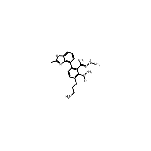 Cc1nc2c(-c3ccc(SCCN)c([S+](N)[O-])c3/C(N)=N/NN)cccc2[nH]1